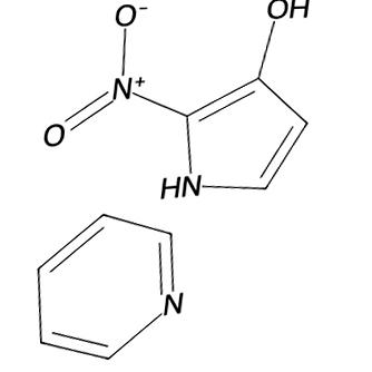 O=[N+]([O-])c1[nH]ccc1O.c1ccncc1